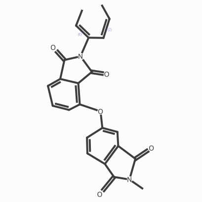 C/C=C\C(=C/C)N1C(=O)c2cccc(Oc3ccc4c(c3)C(=O)N(C)C4=O)c2C1=O